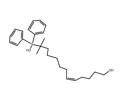 CC(C)(CCCCC/C=C\CCCCO)[Si](O)(c1ccccc1)c1ccccc1